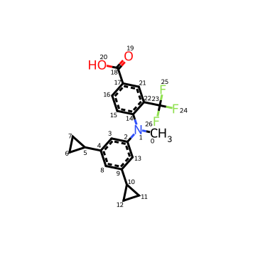 CN(c1cc(C2CC2)cc(C2CC2)c1)c1ccc(C(=O)O)cc1C(F)(F)F